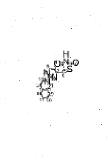 O=C1NC(=O)/C(=C\c2ccnc(N3C=Cc4ccccc4C3)n2)S1